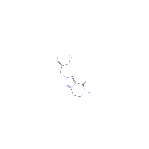 CN1CCc2nn(C/C(=C/F)CN)cc2C1=O.Cl